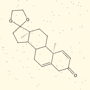 C[C@]12C=CC(=O)CC1=CCC1C2CC[C@@]2(C)C1CCC21OCCO1